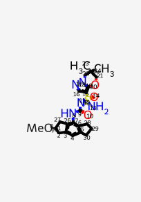 CO[C@@H]1Cc2cc3c(c(NC(=O)N=[S@@](N)(=O)c4cnn5c4OCC(C)(C)C5)c2C1)CCC3